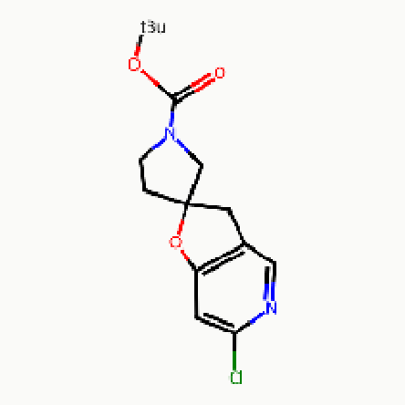 CC(C)(C)OC(=O)N1CCC2(Cc3cnc(Cl)cc3O2)C1